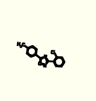 Cc1ccc(-c2nc(-c3ccccc3Cl)no2)cc1